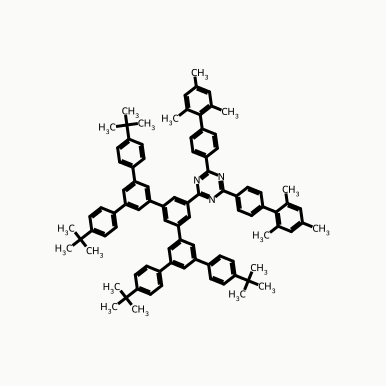 Cc1cc(C)c(-c2ccc(-c3nc(-c4ccc(-c5c(C)cc(C)cc5C)cc4)nc(-c4cc(-c5cc(-c6ccc(C(C)(C)C)cc6)cc(-c6ccc(C(C)(C)C)cc6)c5)cc(-c5cc(-c6ccc(C(C)(C)C)cc6)cc(-c6ccc(C(C)(C)C)cc6)c5)c4)n3)cc2)c(C)c1